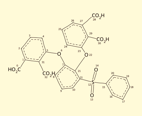 O=C(O)c1cccc(Oc2cccc(S(=O)(=O)c3ccccc3)c2Oc2cccc(C(=O)O)c2C(=O)O)c1C(=O)O